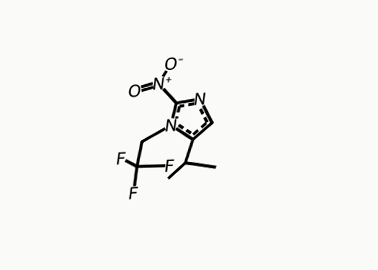 CC(C)c1cnc([N+](=O)[O-])n1CC(F)(F)F